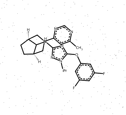 Cc1cc(N2C[C@H]3CC[C@@H](C2)C3Nc2nc(Oc3cc(F)cc(F)c3)n(C(C)C)n2)ncn1